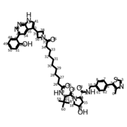 Cc1ncsc1-c1ccc(CNC(=O)[C@@H]2C[C@@H](O)CN2C(=O)[C@@H](NC(=O)CCCCCCCCCC(=O)N2CC(c3c[nH]c4nnc(-c5ccccc5O)cc34)C2)C(C)(C)C)cc1